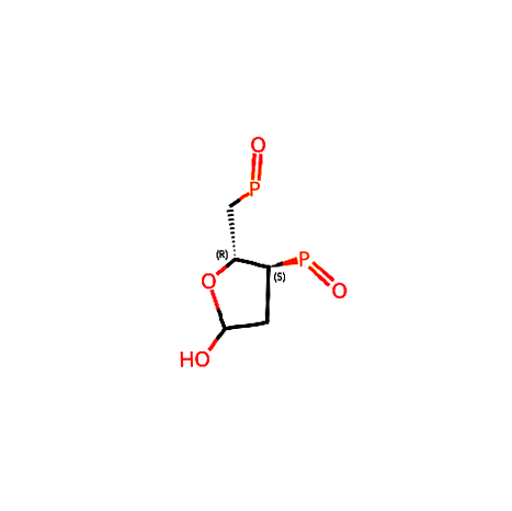 O=PC[C@H]1OC(O)C[C@@H]1P=O